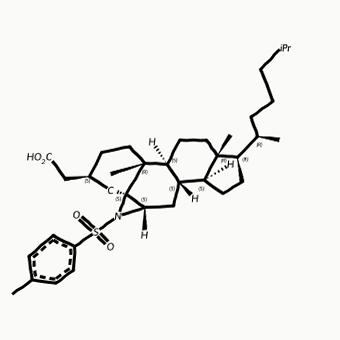 Cc1ccc(S(=O)(=O)N2[C@H]3C[C@H]4[C@@H]5CC[C@H]([C@H](C)CCCC(C)C)[C@@]5(C)CC[C@@H]4[C@@]4(C)CC[C@H](CC(=O)O)C[C@]324)cc1